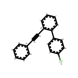 Clc1ccc(-c2ccccc2C#Cc2ccccc2)cc1